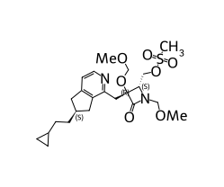 COCO[C@@]1(Cc2nccc3c2C[C@@H](CCC2CC2)C3)C(=O)N(COC)[C@H]1COS(C)(=O)=O